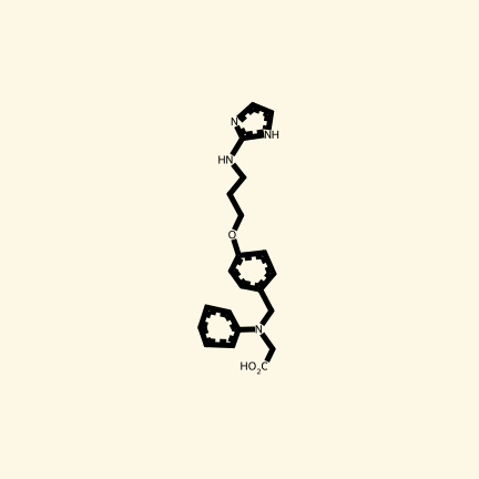 O=C(O)CN(Cc1ccc(OCCCNc2ncc[nH]2)cc1)c1ccccc1